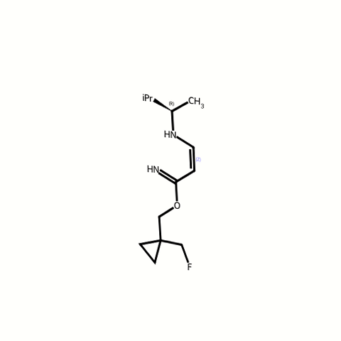 CC(C)[C@@H](C)N/C=C\C(=N)OCC1(CF)CC1